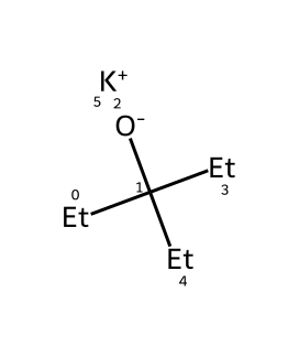 CCC([O-])(CC)CC.[K+]